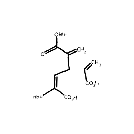 C=C(CC=C(CCCC)C(=O)O)C(=O)OC.C=CC(=O)O